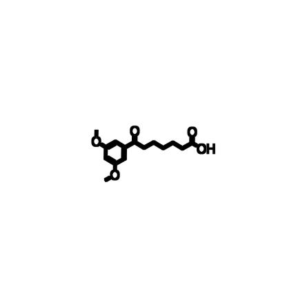 COc1cc(OC)cc(C(=O)CCCCCC(=O)O)c1